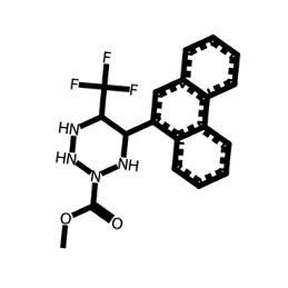 COC(=O)N1NNC(C(F)(F)F)C(c2cc3ccccc3c3ccccc23)N1